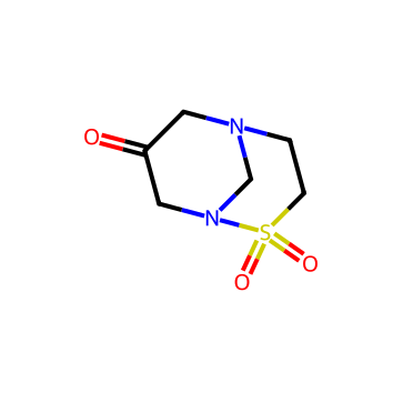 O=C1CN2CCS(=O)(=O)N(C1)C2